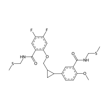 COc1ccc(C2CC2COc2cc(F)c(F)cc2C(=O)NCSC)cc1C(=O)NCSC